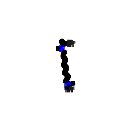 C=C(C(C)C)N(C)CCCCCCCCN(C)C(C)C